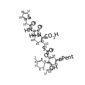 C=C(C)[C@@H]1CCC(C)=C[C@H]1c1c(O)cc(CCCCC)cc1OC(=O)SCC1=C(C(=O)O)N2C(=O)[C@@H](NC(=O)Cc3cccs3)[C@H]2CC1